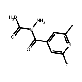 BC(=O)N(N)C(=O)c1cc(C)nc(Cl)c1